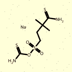 CC(C)(CCS(=O)(=O)OC(N)=S)C(N)=S.[Na]